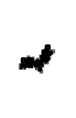 C=N/C=C(\C=C(/C)c1ccc(=O)n(C(C)C)n1)c1ccc2c(c1)CC(=O)N2C